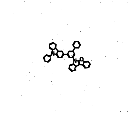 c1ccc(-c2cc(-c3ccc4c(c3)c3ccccc3n4-c3ccccc3)cc(-n3c4ccccc4c4c5ccccc5oc43)c2)cc1